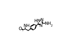 Nc1n[nH]c(-c2ccc(CC(N)[C]=O)cc2)n1